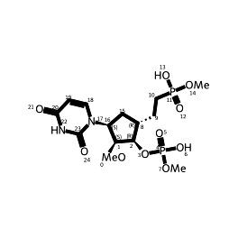 CO[C@@H]1[C@H](OP(=O)(O)OC)[C@@H](CCP(=O)(O)OC)C[C@@H]1n1ccc(=O)[nH]c1=O